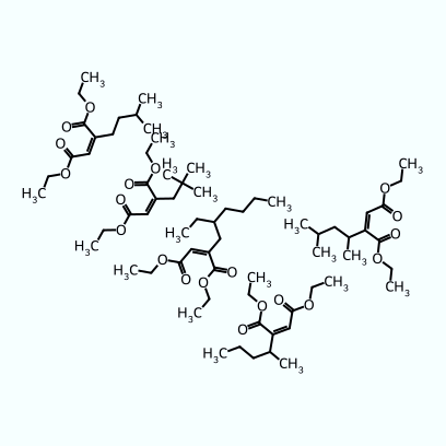 CCCC(C)C(=CC(=O)OCC)C(=O)OCC.CCCCC(CC)CC(=CC(=O)OCC)C(=O)OCC.CCOC(=O)C=C(C(=O)OCC)C(C)CC(C)C.CCOC(=O)C=C(CC(C)(C)C)C(=O)OCC.CCOC(=O)C=C(CCC(C)C)C(=O)OCC